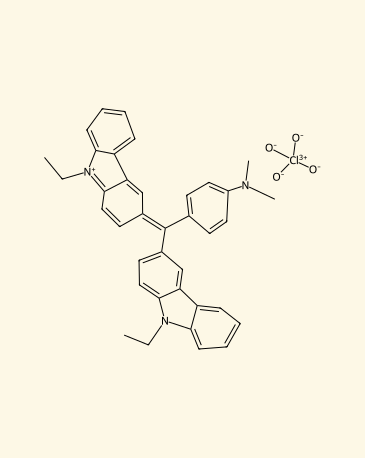 CCn1c2ccccc2c2cc(C(c3ccc(N(C)C)cc3)=c3ccc4c(c3)-c3ccccc3[N+]=4CC)ccc21.[O-][Cl+3]([O-])([O-])[O-]